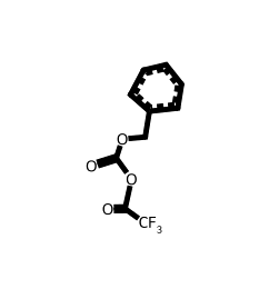 O=C(OCc1ccccc1)OC(=O)C(F)(F)F